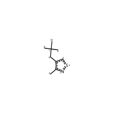 Cc1nscc1CC(C)(C)C